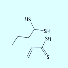 C=CC(=S)S.CCCC(S)S